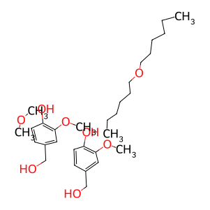 CCCCCCOCCCCCC.COC.COc1cc(CO)ccc1O.COc1cc(CO)ccc1O